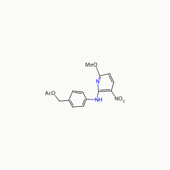 COc1ccc([N+](=O)[O-])c(Nc2ccc(COC(C)=O)cc2)n1